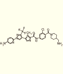 Cn1c(-c2cn(-c3ccc(N)cn3)nc2C(F)(F)F)cnc1C(=O)Nc1ccc(C(=O)N2CCC(CN)CC2)c(Cl)c1